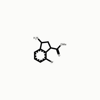 COC(=O)C1CC(N)c2cccc(Br)c21